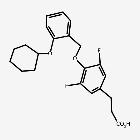 O=C(O)CCc1cc(F)c(OCc2ccccc2OC2CCCCC2)c(F)c1